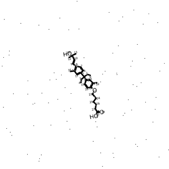 CCC(CC)(c1ccc(C=CC(C)(C)O)c(C)c1)c1ccc(OCCCCCC(=O)O)c(C)c1